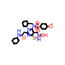 COc1ccc(S(=O)(=O)N(Cc2ccccc2)c2nc(CC(=O)Nc3ccccc3)nc(S)c2C(=O)NO)cc1